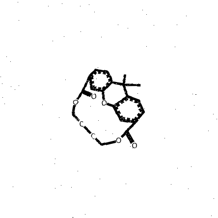 CC1(C)c2ccc3cc2Oc2cc(ccc21)C(=O)OCCCCOC3=O